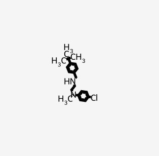 CN(CCNCc1ccc(C(C)(C)C)cc1)c1ccc(Cl)cc1